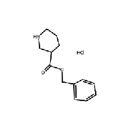 Cl.O=C(OCc1ccccc1)C1CCCNC1